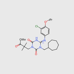 COC(=O)C(C)(C)Cn1c(=O)[nH]/c(=N\c2ccc(OC(C)C)c(Cl)c2)n(CC2CCCCCC2)c1=O